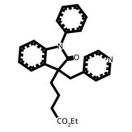 CCOC(=O)CCCC1(Cc2ccncc2)C(=O)N(c2ccccc2)c2ccccc21